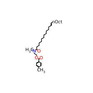 CCCCCCCCC=CCCCCCCCCCCCC(=O)N(C)CCOC(=O)c1ccc(C)cc1